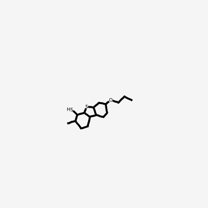 CCCOC1CCC2C(C1)SC1C(S)C(C)CCC21